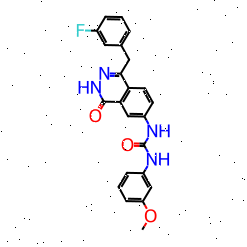 COc1cccc(NC(=O)Nc2ccc3c(Cc4cccc(F)c4)n[nH]c(=O)c3c2)c1